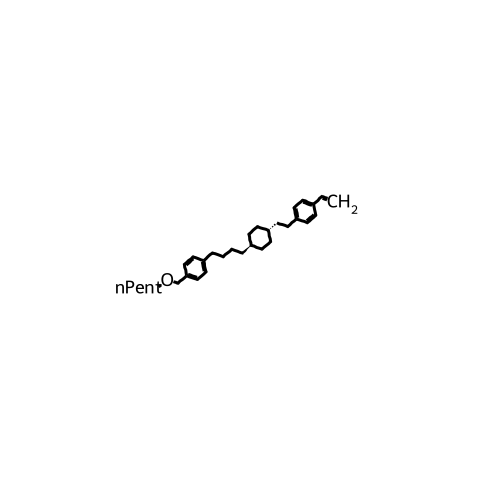 C=Cc1ccc(CC[C@H]2CC[C@H](CCCCc3ccc(COCCCCC)cc3)CC2)cc1